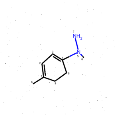 CC1=CC=C(N(C)N)CC1